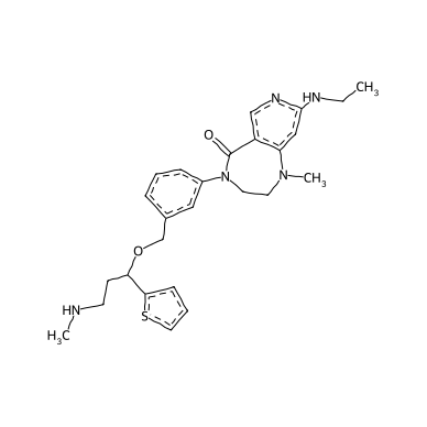 CCNc1cc2c(cn1)C(=O)N(c1cccc(COC(CCNC)c3cccs3)c1)CCN2C